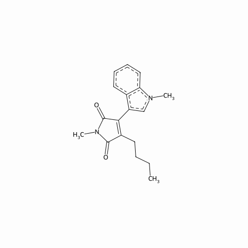 CCCCC1=C(c2cn(C)c3ccccc23)C(=O)N(C)C1=O